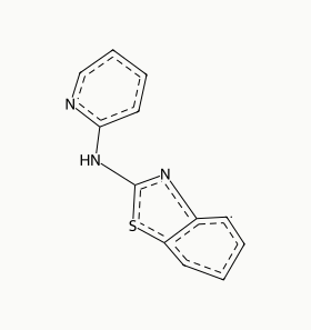 [c]1cccc2sc(Nc3ccccn3)nc12